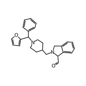 O=CC1c2ccccc2CN1CC1CCN(C(c2ccccc2)c2ccco2)CC1